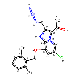 CCc1cccc(CC)c1COc1cc(Cl)cn2c(C(=O)N=O)c(CN=[N+]=[N-])nc12